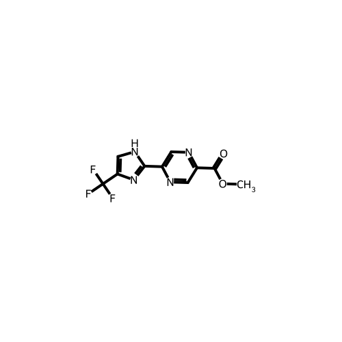 COC(=O)c1cnc(-c2nc(C(F)(F)F)c[nH]2)cn1